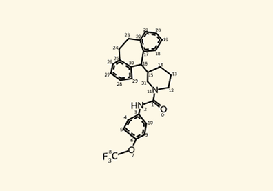 O=C(Nc1ccc(OC(F)(F)F)cc1)N1CCCC(C2c3ccccc3CCc3ccccc32)C1